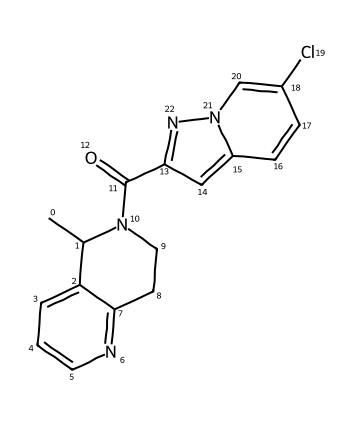 CC1c2cccnc2CCN1C(=O)c1cc2ccc(Cl)cn2n1